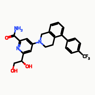 NC(=O)c1cc(N2CCc3c(cccc3-c3ccc(C(F)(F)F)cc3)C2)cc([C@@H](O)CO)n1